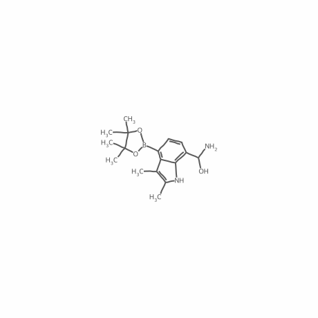 Cc1[nH]c2c(C(N)O)ccc(B3OC(C)(C)C(C)(C)O3)c2c1C